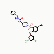 N#Cc1ccc(Oc2cc(Cl)cc(Cl)c2)c(S(=O)(=O)N2CCC(NC(=O)NCc3ccco3)CC2)c1